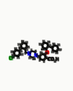 O=C(O)c1ccc(N2CCN(Cc3ccccc3-c3ccc(Cl)cc3)CC2)cc1Oc1ccccc1-c1ccccc1